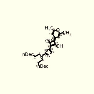 CCCCCCCCCCCCN(CCCCCCCCCCCC)c1ncc(C2=C(O)C(=C3C=C(C)OC(C)=C3)C2=O)s1